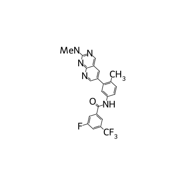 CNc1ncc2cc(-c3cc(NC(=O)c4cc(F)cc(C(F)(F)F)c4)ccc3C)cnc2n1